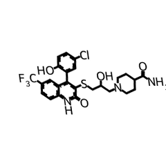 NC(=O)C1CCN(CC(O)CSc2c(-c3cc(Cl)ccc3O)c3cc(C(F)(F)F)ccc3[nH]c2=O)CC1